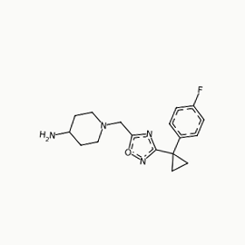 NC1CCN(Cc2nc(C3(c4ccc(F)cc4)CC3)no2)CC1